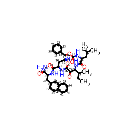 CCC(C)C(NC(=O)C(CC(C)C)NC(=O)OCc1ccccc1)C(=O)C(=O)NC(CC#N)C(=O)NC(Cc1ccc2ccccc2c1)C(N)=O